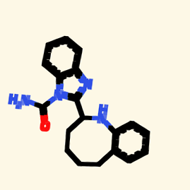 NC(=O)n1c(C2CCCCc3ccccc3N2)nc2ccccc21